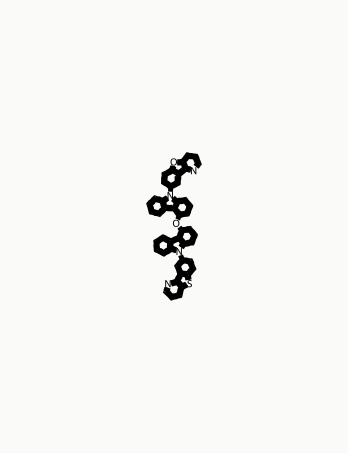 c1cnc2c(c1)oc1ccc(-n3c4ccccc4c4c(Oc5cccc6c5c5ccccc5n6-c5ccc6sc7cccnc7c6c5)cccc43)cc12